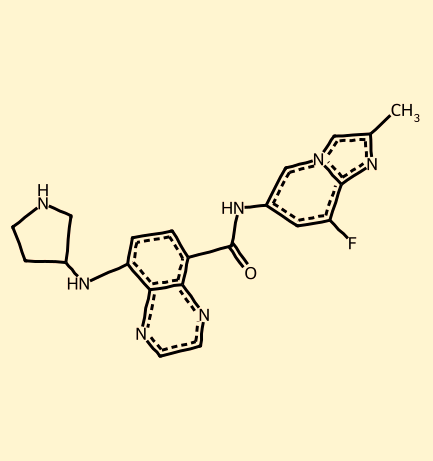 Cc1cn2cc(NC(=O)c3ccc(NC4CCNC4)c4nccnc34)cc(F)c2n1